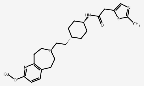 CCC(C)Oc1ccc2c(n1)CCN(CC[C@H]1CC[C@H](NC(=O)Cc3cnc(C)s3)CC1)CC2